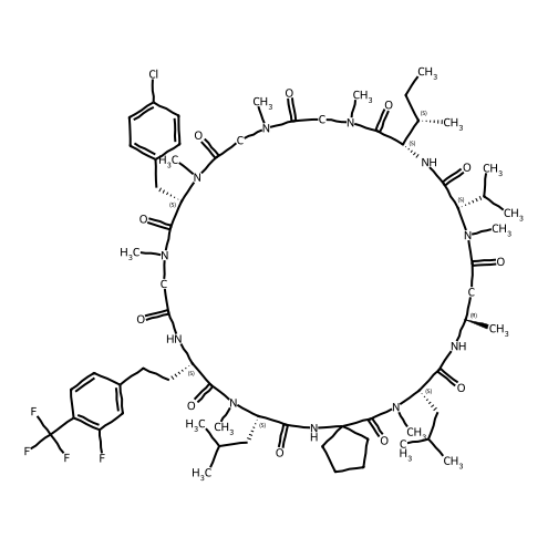 CC[C@H](C)[C@@H]1NC(=O)[C@H](C(C)C)N(C)C(=O)C[C@@H](C)NC(=O)[C@H](CC(C)C)N(C)C(=O)C2(CCCC2)NC(=O)[C@H](CC(C)C)N(C)C(=O)[C@H](CCc2ccc(C(F)(F)F)c(F)c2)NC(=O)CN(C)C(=O)[C@H](Cc2ccc(Cl)cc2)N(C)C(=O)CN(C)C(=O)CN(C)C1=O